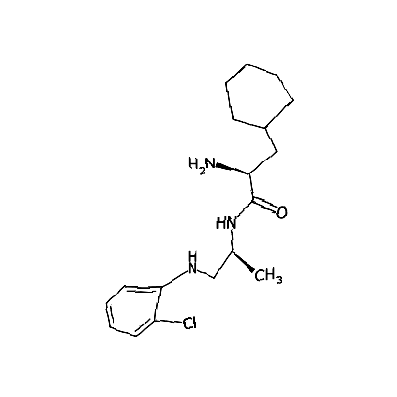 C[C@@H](CNc1ccccc1Cl)NC(=O)[C@@H](N)CC1CCCCC1